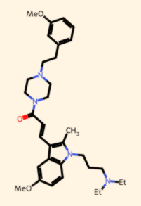 CCN(CC)CCCn1c(C)c(C=CC(=O)N2CCN(CCc3cccc(OC)c3)CC2)c2cc(OC)ccc21